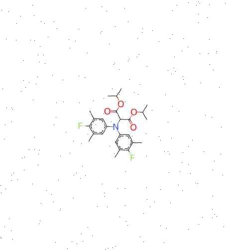 Cc1cc(N(c2cc(C)c(F)c(C)c2)C(C(=O)OC(C)C)C(=O)OC(C)C)cc(C)c1F